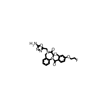 Nc1nnc(CN2Cc3ccccc3N(C(=O)c3ccc(OCCF)cc3Cl)CC2=O)o1